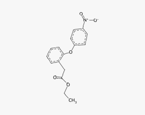 CCOC(=O)Cc1ccccc1Oc1ccc([N+](=O)[O-])cc1